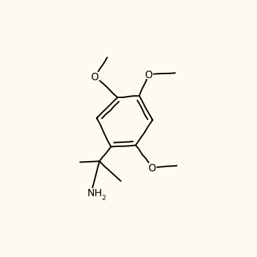 COc1cc(OC)c(C(C)(C)N)cc1OC